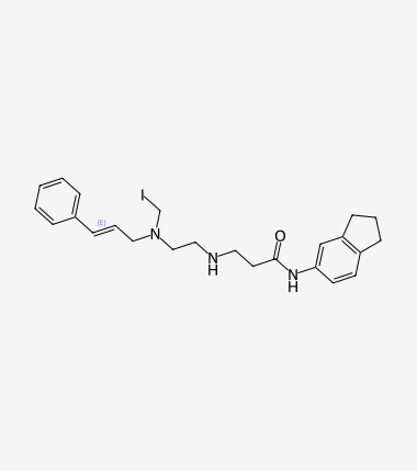 O=C(CCNCCN(CI)C/C=C/c1ccccc1)Nc1ccc2c(c1)CCC2